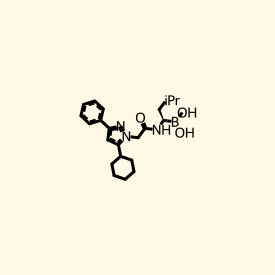 CC(C)C[C@H](NC(=O)Cn1nc(-c2ccccc2)cc1C1CCCCC1)B(O)O